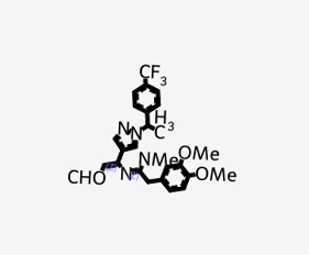 CN/C(Cc1ccc(OC)c(OC)c1)=N\C(=C/C=O)c1cnn(C(C)c2ccc(C(F)(F)F)cc2)c1